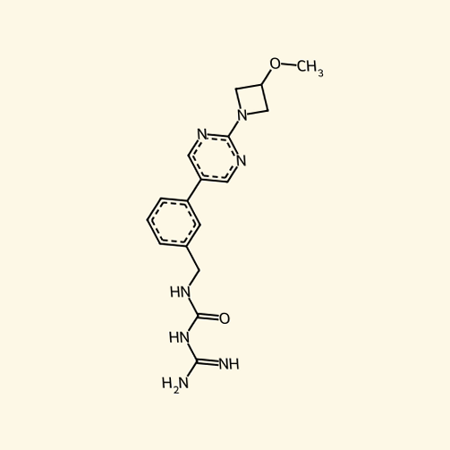 COC1CN(c2ncc(-c3cccc(CNC(=O)NC(=N)N)c3)cn2)C1